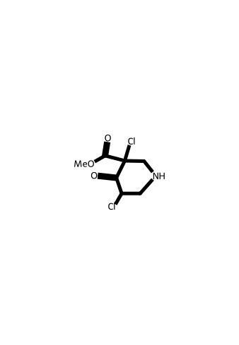 COC(=O)C1(Cl)CNCC(Cl)C1=O